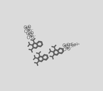 CC(C)c1cc2ccccc2c(C(C)C)c1C(C)C.CC(C)c1cc2ccccc2c(C(C)C)c1C(C)C.CC(C)c1cc2ccccc2c(C(C)C)c1C(C)C.O=S(=O)([O-])[O-].O=S(=O)([O-])[O-].O=S(=O)([O-])[O-].[Fe+3].[Fe+3]